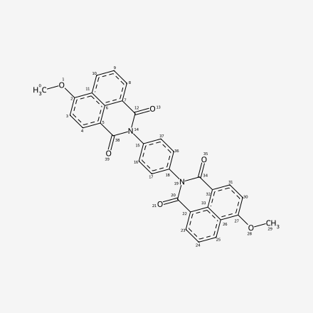 COc1ccc2c3c(cccc13)C(=O)N(c1ccc(N3C(=O)c4cccc5c(OC)ccc(c45)C3=O)cc1)C2=O